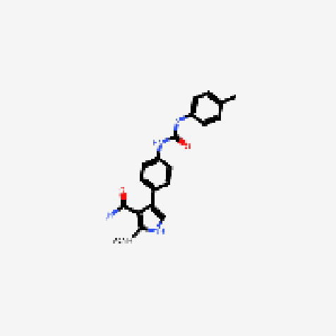 CC(=O)Nc1[nH]cc(-c2ccc(NC(=O)Nc3ccc(C)cc3)cc2)c1C(N)=O